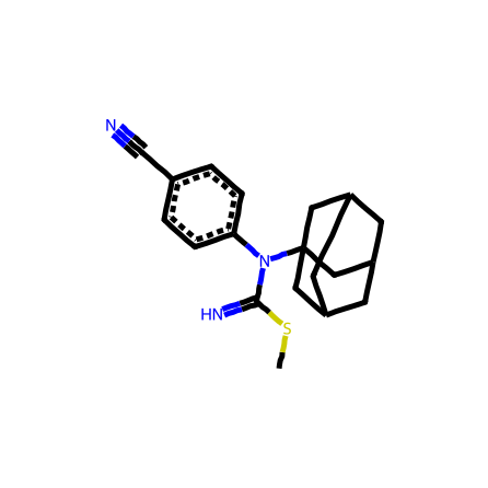 CSC(=N)N(c1ccc(C#N)cc1)C12CC3CC(CC(C3)C1)C2